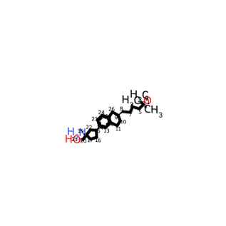 COC(C)(C)CCCC[C@H]1CCc2cc([C@H]3CC[C@@](N)(CO)C3)ccc2C1